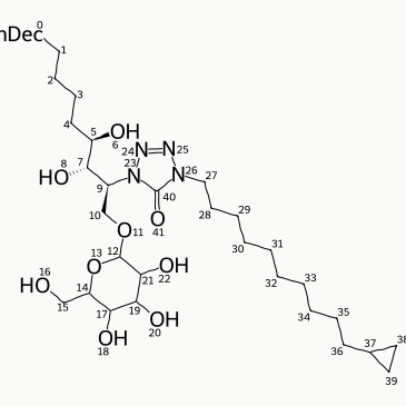 CCCCCCCCCCCCCC[C@@H](O)[C@@H](O)[C@H](COC1OC(CO)C(O)C(O)C1O)n1nnn(CCCCCCCCCCC2CC2)c1=O